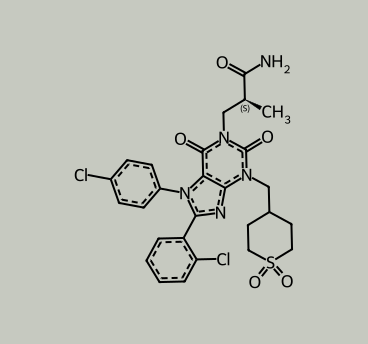 C[C@@H](Cn1c(=O)c2c(nc(-c3ccccc3Cl)n2-c2ccc(Cl)cc2)n(CC2CCS(=O)(=O)CC2)c1=O)C(N)=O